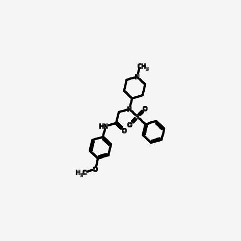 COc1ccc(NC(=O)CN(C2CCN(C)CC2)S(=O)(=O)c2ccccc2)cc1